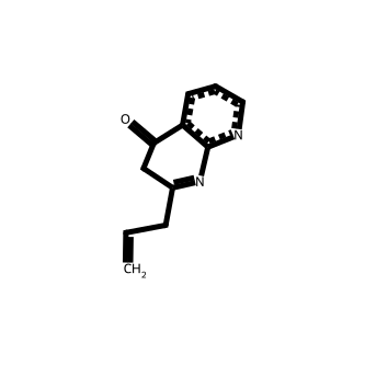 C=CCC1=Nc2ncccc2C(=O)C1